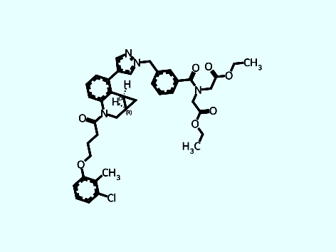 CCOC(=O)CN(CC(=O)OCC)C(=O)c1cccc(Cn2cc(-c3cccc4c3[C@H]3C[C@H]3CN4C(=O)CCCOc3cccc(Cl)c3C)cn2)c1